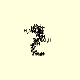 CN(Cc1cnc2nc(N)nc(N)c2n1)c1ccc(C(=O)NC(CCC(=O)NCC(C)(C)CCOC(C)(C)CCN=[N+]=[N-])C(=O)O)cc1